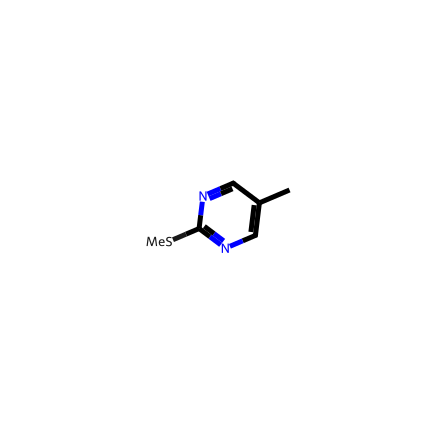 CSc1ncc(C)cn1